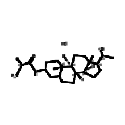 C[C@H](N)C(=O)NC1CC[C@@]2(C)C(CC[C@H]3[C@@H]4CC[C@H]([C@H](C)O)[C@@]4(C)CC[C@@H]32)C1.Cl